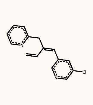 C=C/C(=C\c1cncc(Cl)c1)Cc1ccccn1